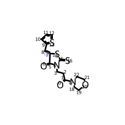 O=C(CCN1C(=O)/C(=C/c2cccs2)SC1=S)N1CCOCC1